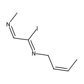 C/C=C\C/N=C(I)/C=N\C